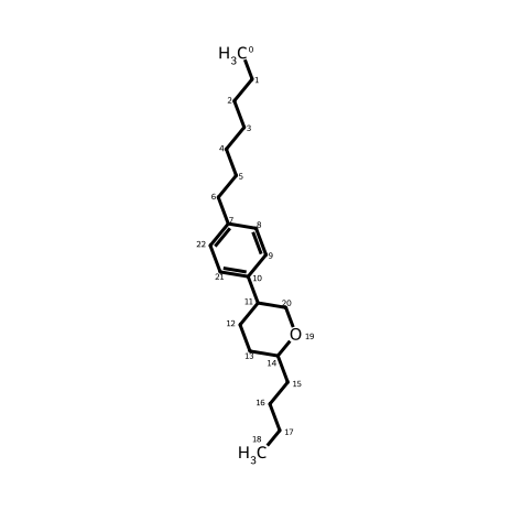 CCCCCCCc1ccc(C2CCC(CCCC)OC2)cc1